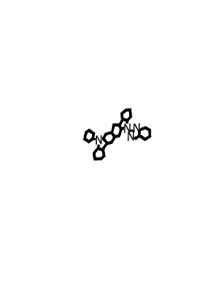 c1ccc(-n2c3ccccc3c3cc4cc5c(cc4cc32)c2ccccc2n5-c2ncc3ccccc3n2)cc1